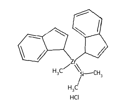 C[Si](C)=[Zr]([CH3])([CH]1C=Cc2ccccc21)[CH]1C=Cc2ccccc21.Cl